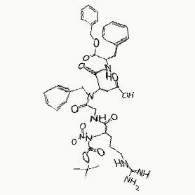 CC(C)(C)OC(=O)N(C(CCCNC(=N)N)C(=O)NCC(=O)N(Cc1ccccc1)C(CC(=O)O)C(=O)NC(Cc1ccccc1)C(=O)OCc1ccccc1)[N+](=O)[O-]